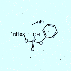 CCCC.CCCCCCOP(=O)(O)Oc1ccccc1